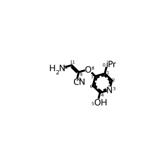 CC(C)c1cnc(O)cc1O/C(C#N)=C/N